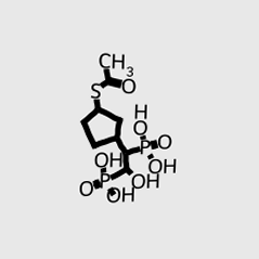 CC(=O)SC1CCC(C(C(O)P(=O)(O)O)P(=O)(O)O)C1